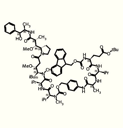 CC[C@H](C)[C@@H]([C@@H](CC(=O)N1CCC[C@H]1[C@H](OC)[C@@H](C)C(=O)N[C@H](C)[C@@H](O)c1ccccc1)OC)N(C)C(=O)[C@@H](NC(=O)[C@H](C(C)C)N(C)C(=O)OCc1ccc(NC(=O)[C@H](C)NC(=O)[C@@H](NC(=O)[C@H](CCC(=O)OC(C)(C)C)NC(=O)OCC2c3ccccc3-c3ccccc32)C(C)C)cc1)C(C)C